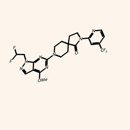 COc1nc(N2CCC3(CC2)CCN(c2cc(C(F)(F)F)ccn2)C3=O)nc2c1cnn2CC(F)F